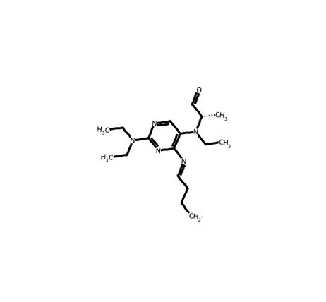 [CH2]CCC=Nc1nc(N(CC)CC)ncc1N(CC)[C@@H](C)C=O